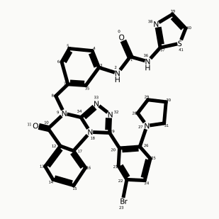 O=C(Nc1cccc(Cn2c(=O)c3ccccc3n3c(-c4cc(Br)ccc4N4CCCC4)nnc23)c1)Nc1nccs1